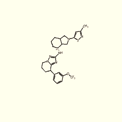 Cc1cc(N2CC3CCC[C@@H](Nc4nc5n(n4)CCCC5c4cccc(OC(F)(F)F)c4)C3C2)sn1